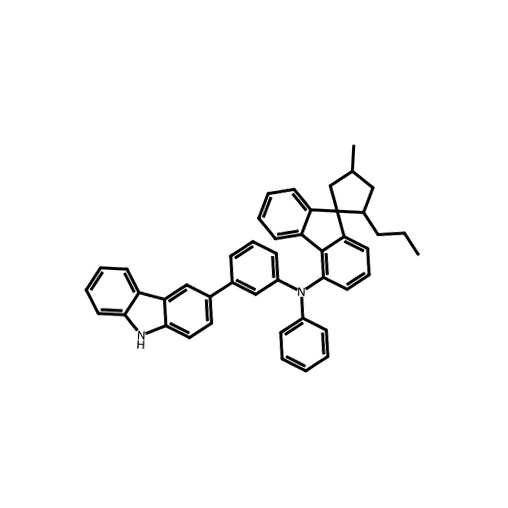 CCCC1CC(C)CC12c1ccccc1-c1c(N(c3ccccc3)c3cccc(-c4ccc5[nH]c6ccccc6c5c4)c3)cccc12